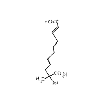 CCCCCCCCC=CCCCCCC[C](C)([Au])C(=O)O